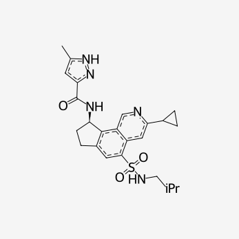 Cc1cc(C(=O)N[C@@H]2CCc3cc(S(=O)(=O)NCC(C)C)c4cc(C5CC5)ncc4c32)n[nH]1